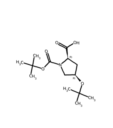 CC(C)(C)OC(=O)N1C[C@H](OC(C)(C)C)C[C@@H]1C(=O)O